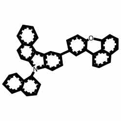 c1ccc2c(-n3c4ccc(-c5ccc6c(c5)-c5cccc7cccc(c57)O6)cc4c4c5ccccc5ccc43)cccc2c1